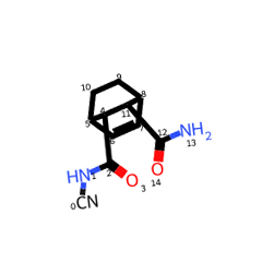 N#CNC(=O)C1C2C=CC(CC2)C1C(N)=O